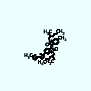 CCCCC(CC)CN1C(=O)/C(=C2/C(=O)N(CC(CC)CCCC)c3cc(-c4ccc(-c5ccc(C)s5)s4)ccc32)c2ccc(C)cc21